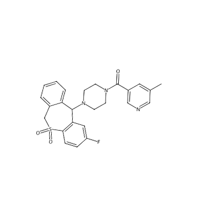 Cc1cncc(C(=O)N2CCN(C3c4ccccc4CS(=O)(=O)c4ccc(F)cc43)CC2)c1